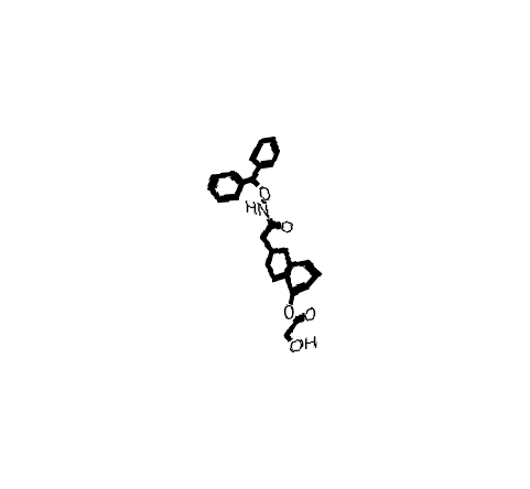 O=C(CC1CCc2c(cccc2OC(=O)CO)C1)NOC(c1ccccc1)c1ccccc1